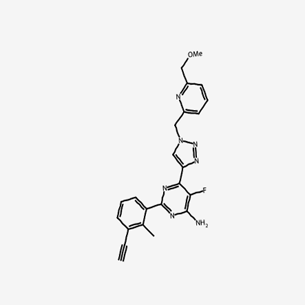 C#Cc1cccc(-c2nc(N)c(F)c(-c3cn(Cc4cccc(COC)n4)nn3)n2)c1C